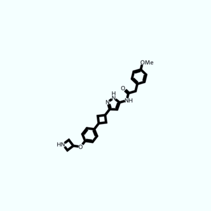 COc1ccc(CC(=O)Nc2cc(C3CC(c4ccc(OC5CNC5)cc4)C3)n[nH]2)cc1